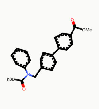 CCCCC(=O)N(Cc1ccc(-c2ccc(C(=O)OC)cc2)cc1)c1ccccc1